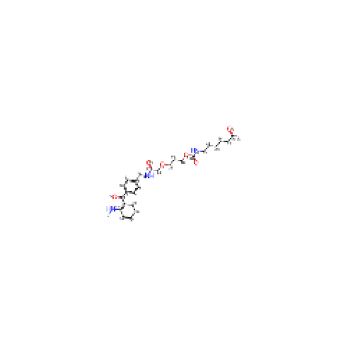 CNC1=C(C(=O)c2ccc(CNC(=O)COCCCOC(=O)NCCCCCC(C)=O)cc2)CCCC1